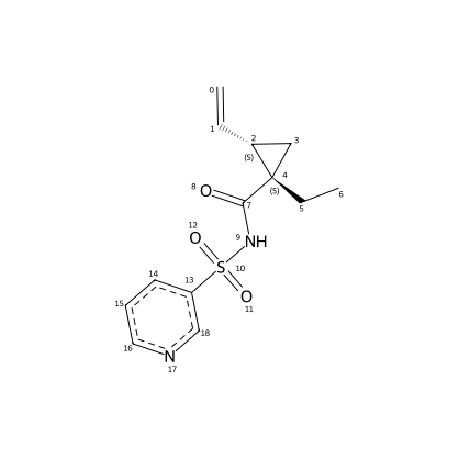 C=C[C@@H]1C[C@]1(CC)C(=O)NS(=O)(=O)c1cccnc1